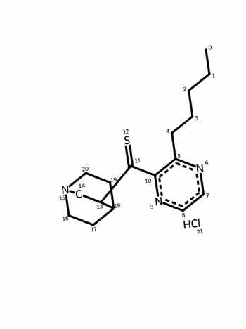 CCCCCc1nccnc1C(=S)C1CN2CCC1CC2.Cl